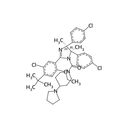 CCOc1cc(C(C)(C)C)c(Cl)cc1C1=N[C@@](C)(c2ccc(Cl)cc2)[C@@](C)(c2ccc(Cl)cc2)N1C(=O)N1CCC(N2CCCC2)CC1